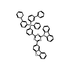 C1=CCC(c2cccc([Si](c3ccccc3)(c3cccc(-c4ccccc4)c3)c3cccc(-c4nc(-c5ccc6oc7ccccc7c6c5)nc(-n5c6ccccc6c6ccccc65)n4)c3)c2)C=C1